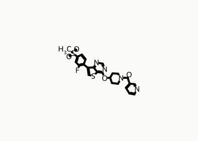 CS(=O)(=O)c1ccc(-c2csc3c(OC4CCN(C(=O)c5cccnc5)CC4)ncnc23)c(F)c1